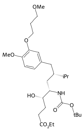 CCOC(=O)CC[C@H](O)[C@H](C[C@H](Cc1ccc(OC)c(OCCCOC)c1)C(C)C)NC(=O)OC(C)(C)C